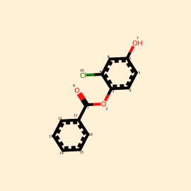 O=C(Oc1ccc(O)cc1Cl)c1ccccc1